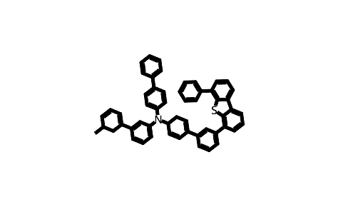 CC1C=CC=C(c2cccc(N(c3ccc(-c4ccccc4)cc3)C3C=CC(c4cccc(-c5cccc6c5sc5c(-c7ccccc7)cccc56)c4)=CC3)c2)C1